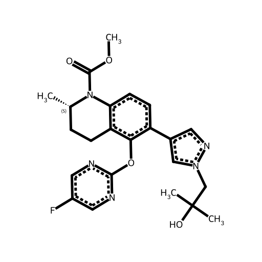 COC(=O)N1c2ccc(-c3cnn(CC(C)(C)O)c3)c(Oc3ncc(F)cn3)c2CC[C@@H]1C